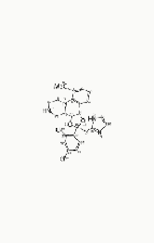 COc1ccccc1N1CCNCC1C1COC(Cc2ncc[nH]2)(c2ccc(Cl)cc2Cl)O1